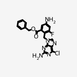 Nc1cc(F)c(Cn2cnc3c(Cl)nc(N)nc32)c(C(=O)OCc2ccccc2)c1